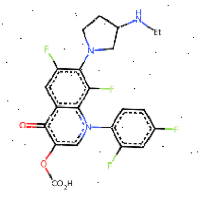 CCNC1CCN(c2c(F)cc3c(=O)c(OC(=O)O)cn(-c4ccc(F)cc4F)c3c2F)C1